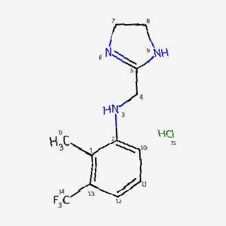 Cc1c(NCC2=NCCN2)cccc1C(F)(F)F.Cl